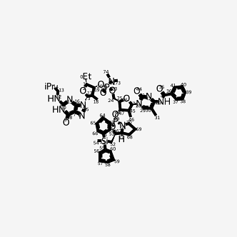 CC[C@H]1O[C@@H](n2cnc3c(=O)[nH]c(NCC(C)C)nc32)C(C)[C@H]1OP(=O)(OC[C@H]1O[C@@H](n2cc(C)c(NC(=O)c3ccccc3)nc2=O)C(C)[C@H]1O[P@@]1O[C@H](C[Si](C)(c2ccccc2)c2ccccc2)[C@@H]2CCCN21)N(C)C